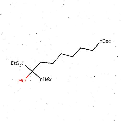 CCCCCCCCCCCCCCCCC(O)(CCCCCC)C(=O)OCC